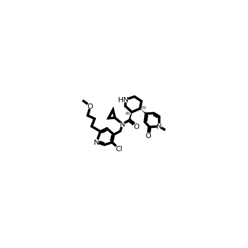 COCCCc1cc(CN(C(=O)[C@H]2CNCC[C@@H]2c2ccn(C)c(=O)c2)C2CC2)c(Cl)cn1